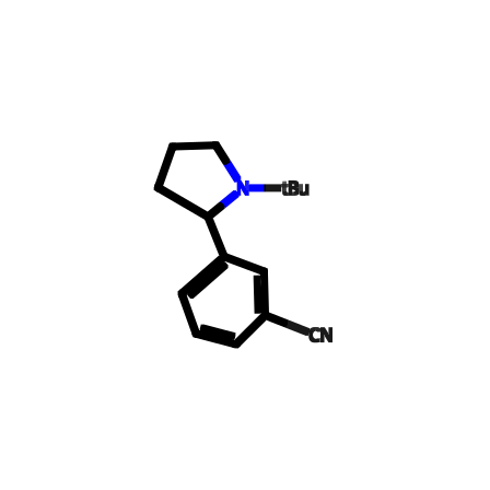 CC(C)(C)N1CCCC1c1cccc(C#N)c1